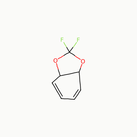 FC1(F)OC2C=CC=CC2O1